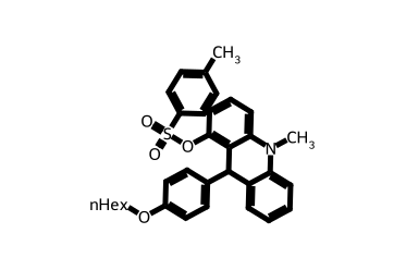 CCCCCCOc1ccc(C2c3ccccc3N(C)c3cccc(OS(=O)(=O)c4ccc(C)cc4)c32)cc1